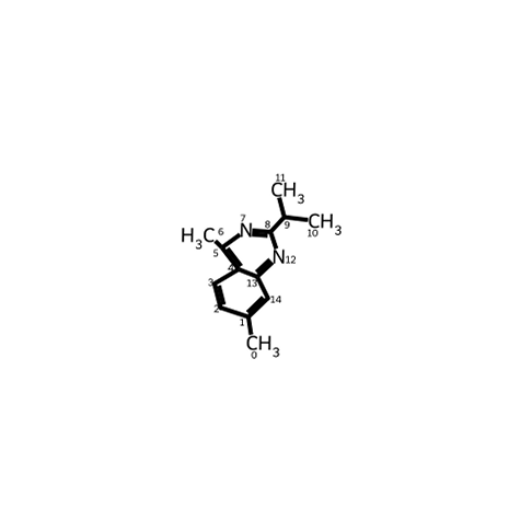 Cc1ccc2c(C)nc(C(C)C)nc2c1